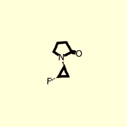 O=C1CCCN1[C@@H]1C[C@@H]1F